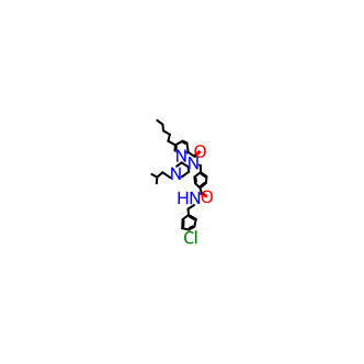 CCCCCc1ccc(C(=O)N(Cc2ccc(C(=O)NCCc3ccc(Cl)cc3)cc2)C2CCN(CCC(C)C)CC2)nc1